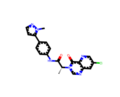 C[C@H](C(=O)Nc1ccc(-c2ccnn2C)cc1)n1cnc2cc(Cl)cnc2c1=O